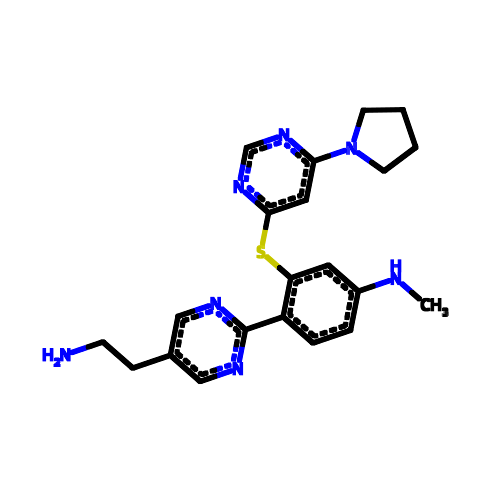 CNc1ccc(-c2ncc(CCN)cn2)c(Sc2cc(N3CCCC3)ncn2)c1